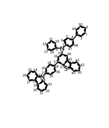 c1ccc(-c2ccc(N(c3ccccc3)c3cc(-c4ccc(-n5c6ccccc6c6ccccc65)cc4)c4sc5ccccc5c4c3)cc2)cc1